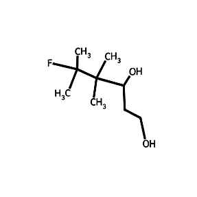 CC(C)(F)C(C)(C)C(O)CCO